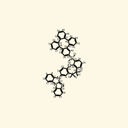 CC1(C)c2cc(-n3c4ccccc4n4c5ccccc5nc34)ccc2Oc2c(cccc2[Si](C)(C)c2ccc3c(c2)-c2ccccc2-c2ccccc2-c2ccccc2-3)C1(C)C